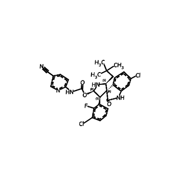 CC(C)(C)C[C@@H]1N[C@H](OC(=O)Nc2ccc(C#N)cn2)[C@H](c2cccc(Cl)c2F)[C@]12C(=O)Nc1cc(Cl)ccc12